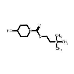 C[Si](C)(C)CCOC(=O)N1CCC(O)CC1